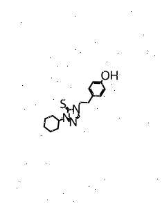 Oc1ccc(CCn2cnn(C3CCCCC3)c2=S)cc1